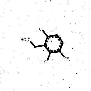 O=C(O)Cc1c(Cl)ccc(C(F)(F)F)c1Cl